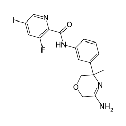 CC1(c2cccc(NC(=O)c3ncc(I)cc3F)c2)COCC(N)=N1